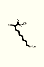 CCCCCCCCCCCCCCCCC(CCCC)C(=O)OO